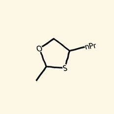 CCCC1COC(C)S1